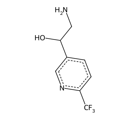 NCC(O)c1ccc(C(F)(F)F)nc1